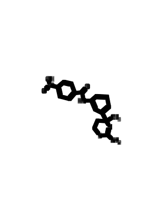 CC1(c2cccc(NC(=O)c3ccc([N+](=O)O)cc3)c2)CCSC(N)=N1